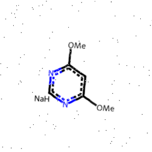 COc1cc(OC)ncn1.[NaH]